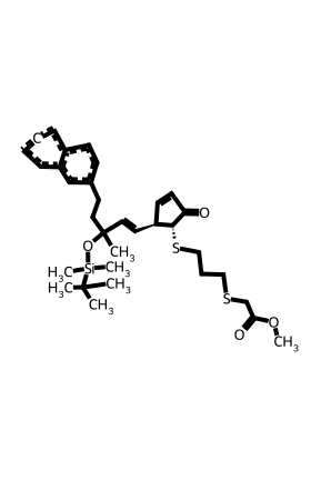 COC(=O)CSCCCS[C@H]1C(=O)C=C[C@@H]1/C=C/C(C)(CCc1ccc2ccccc2c1)O[Si](C)(C)C(C)(C)C